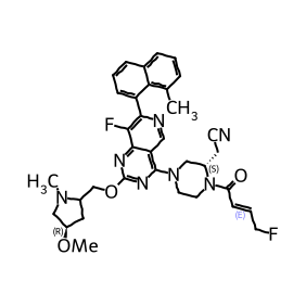 CO[C@@H]1CC(COc2nc(N3CCN(C(=O)/C=C/CF)[C@@H](CC#N)C3)c3cnc(-c4cccc5cccc(C)c45)c(F)c3n2)N(C)C1